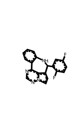 Fc1ccc(F)c(C2Nc3ccccc3-c3ncnn4ccc2c34)c1